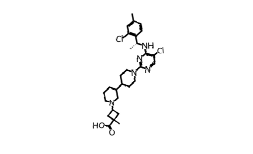 Cc1ccc([C@@H](C)Nc2nc(N3CCC(C4CCCN(C5CC(C)(C(=O)O)C5)C4)CC3)ncc2Cl)c(Cl)c1